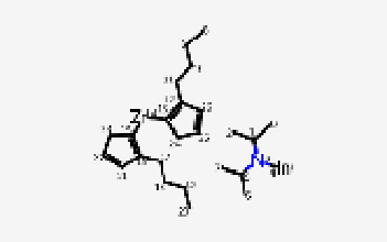 CC(C)[N]([In])C(C)C.CCCCC1=[C]([Zr][C]2=C(CCCC)C=CC2)CC=C1